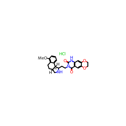 COc1cccc2c1CC[C@H]1CNC(CCn3c(=O)[nH]c4cc5c(cc4c3=O)OCCO5)[C@@H]21.Cl